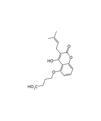 CC(C)=CCc1c(O)c2c(OCCCC(=O)O)cccc2oc1=O